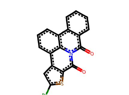 O=c1c2ccccc2c2cccc3c4cc(Br)sc4c(=O)n1c23